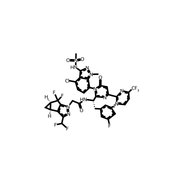 Cn1nc(NS(C)(=O)=O)c2c(Cl)ccc(-n3c([C@H](Cc4cc(F)cc(F)c4)NC(=O)Cn4nc(C(F)F)c5c4C(F)(F)[C@@H]4C[C@H]54)nc(-c4nccc(C(F)(F)F)n4)cc3=O)c21